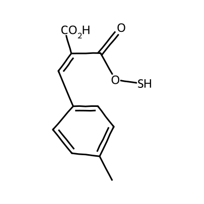 Cc1ccc(C=C(C(=O)O)C(=O)OS)cc1